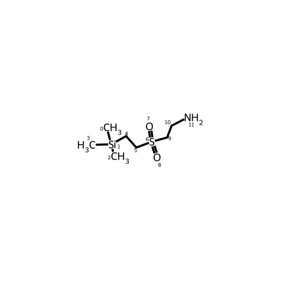 C[Si](C)(C)CCS(=O)(=O)CCN